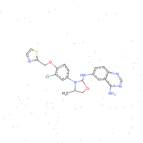 CC1COC(Nc2ccc3ncnc(N)c3c2)N1c1ccc(OCc2nccs2)c(Cl)c1